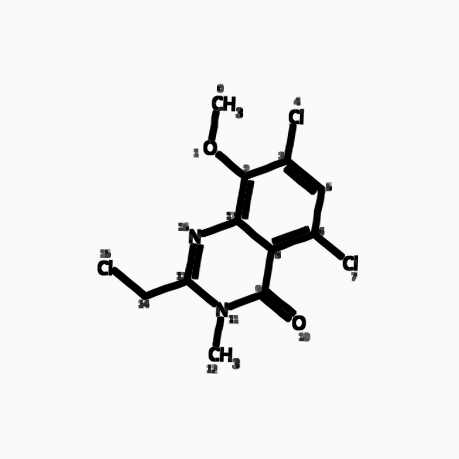 COc1c(Cl)cc(Cl)c2c(=O)n(C)c(CCl)nc12